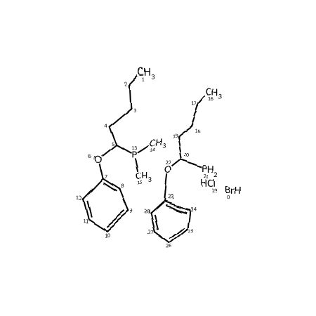 Br.CCCCC(Oc1ccccc1)P(C)C.CCCCC(P)Oc1ccccc1.Cl